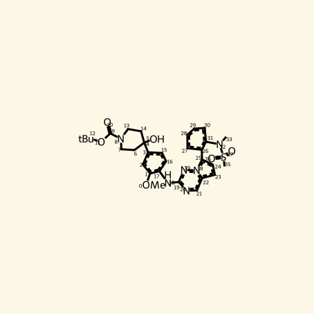 COc1cc(C2(O)CCN(C(=O)OC(C)(C)C)CC2)ccc1Nc1ncc2ccc(-c3ccccc3N(C)S(C)(=O)=O)n2n1